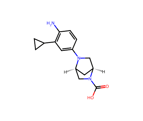 Nc1ccc(N2C[C@@H]3C[C@H]2CN3C(=O)O)cc1C1CC1